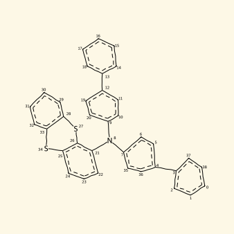 c1ccc(-c2ccc(N(c3ccc(-c4ccccc4)cc3)c3cccc4c3Sc3ccccc3S4)cc2)cc1